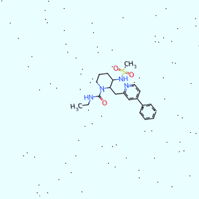 CCNC(=O)N1CCCC(NS(C)(=O)=O)C1Cc1cc(-c2ccccc2)ccn1